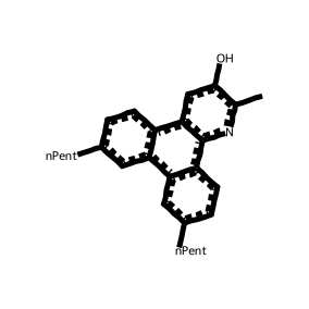 CCCCCc1ccc2c(c1)c1cc(CCCCC)ccc1c1nc(C)c(O)cc21